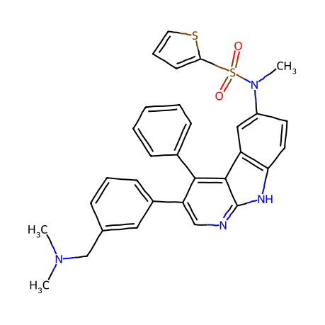 CN(C)Cc1cccc(-c2cnc3[nH]c4ccc(N(C)S(=O)(=O)c5cccs5)cc4c3c2-c2ccccc2)c1